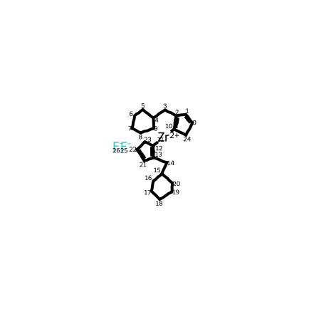 C1=CC(CC2CCCCC2)=[C]([Zr+2][C]2=C(CC3CCCCC3)C=CC2)C1.[F-].[F-]